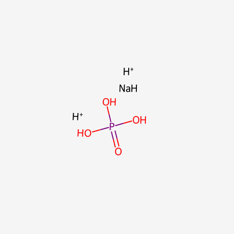 O=P(O)(O)O.[H+].[H+].[NaH]